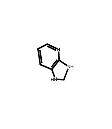 [c]1ccnc2c1NCN2